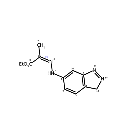 CCOC(=O)/C(C)=N\Nc1ccc2c(c1)N=NC2